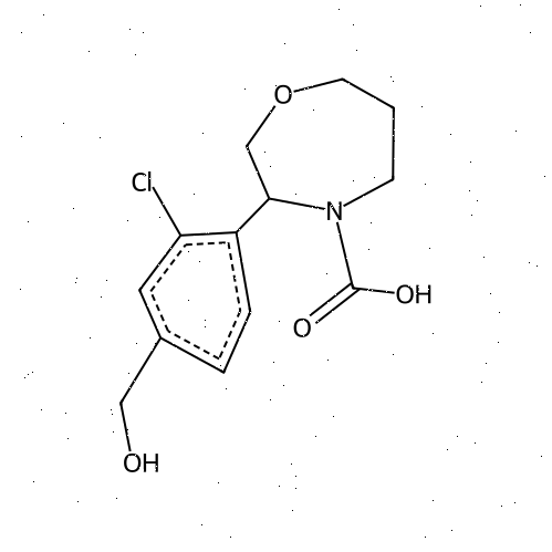 O=C(O)N1CCCOCC1c1ccc(CO)cc1Cl